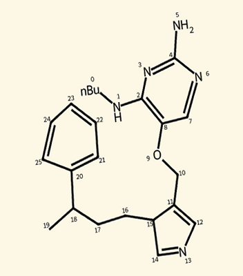 CCCCNc1nc(N)ncc1OCC1=CN=CC1CCC(C)c1ccccc1